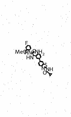 COc1cc(F)ccc1NC(=O)C(=N)c1cc(-c2ccc3nc(NC(=O)C4CC4)sc3c2)ccc1N